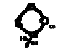 O=P(O)(O)c1cc2cc3nc(cc4ccc(cc5nc(cc1[nH]2)C=C5)[nH]4)C=C3.[Co]